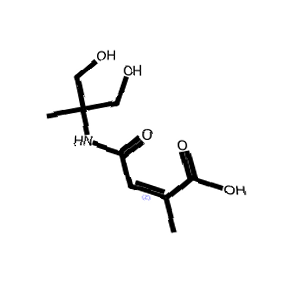 C/C(=C/C(=O)NC(C)(CO)CO)C(=O)O